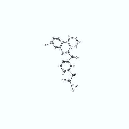 O=C(Nc1cnccc1-c1ccc(F)cc1F)c1ccnc(NC(=O)C2CC2)c1